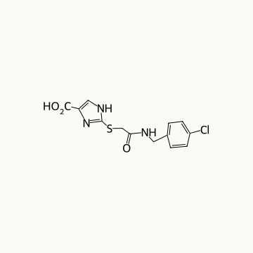 O=C(CSc1nc(C(=O)O)c[nH]1)NCc1ccc(Cl)cc1